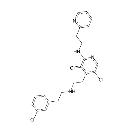 O=c1c(NCCc2ccccn2)ncc(Cl)n1CCNCCc1cccc(Cl)c1